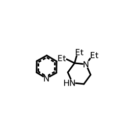 CCN1CCNCC1(CC)CC.c1ccncc1